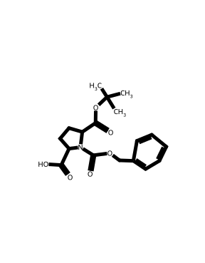 CC(C)(C)OC(=O)C1CCC(C(=O)O)N1C(=O)OCc1ccccc1